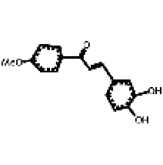 COc1ccc(C(=O)/C=C/c2ccc(O)c(O)c2)cc1